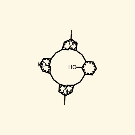 Oc1c2cccc1Cc1cc(I)cc(c1O)Cc1cccc(c1O)Cc1cc(I)cc(c1O)C2